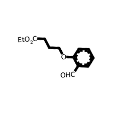 CCOC(=O)CCCOc1ccccc1C=O